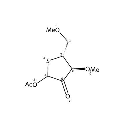 COC[C@H]1SC(OC(C)=O)C(=O)[C@@H]1OC